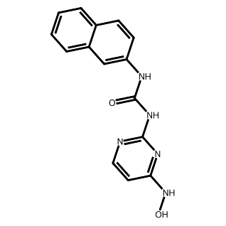 O=C(Nc1ccc2ccccc2c1)Nc1nccc(NO)n1